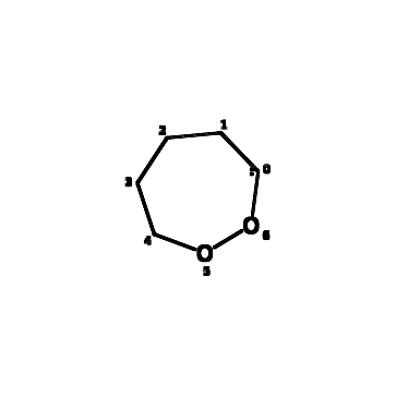 [C]1CCCCOO1